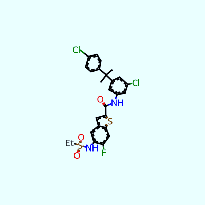 CCS(=O)(=O)Nc1cc2cc(C(=O)Nc3cc(Cl)cc(C(C)(C)c4ccc(Cl)cc4)c3)sc2cc1F